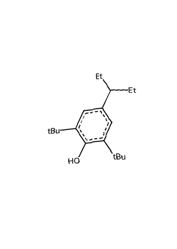 CCC(CC)c1cc(C(C)(C)C)c(O)c(C(C)(C)C)c1